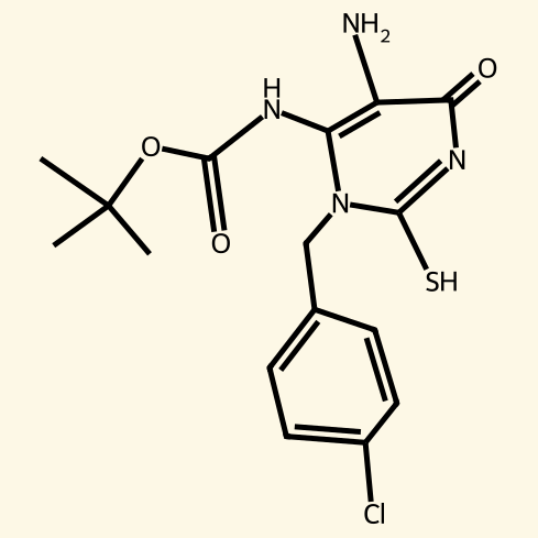 CC(C)(C)OC(=O)Nc1c(N)c(=O)nc(S)n1Cc1ccc(Cl)cc1